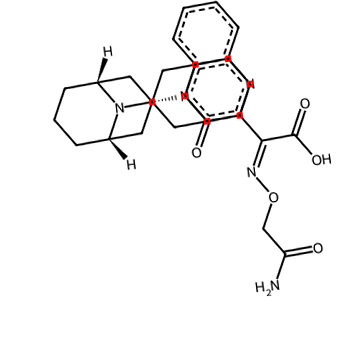 NC(=O)CO/N=C(\C(=O)O)c1nc2ccccc2n([C@H]2C[C@H]3CCC[C@@H](C2)N3C2CC3CCCC(C3)C2)c1=O